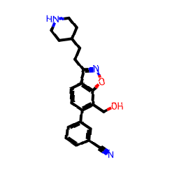 N#Cc1cccc(-c2ccc3c(CCC4CCNCC4)noc3c2CO)c1